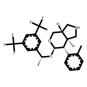 Cc1ccccc1[C@@H]1[C@@H](O[C@H](C)c2cc(C(F)(F)F)cc(C(F)(F)F)c2)OC[C@@H]2CNC[C@H]21